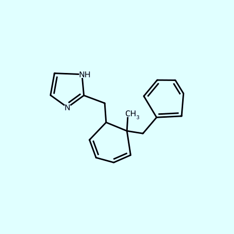 CC1(Cc2ccccc2)C=CC=CC1Cc1ncc[nH]1